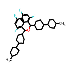 CC1CCC(C2CCC(C(OC(c3ccc(F)cc3F)C3CCC(C4CCC(C)CC4)CC3)c3ccc(F)cc3F)CC2)CC1